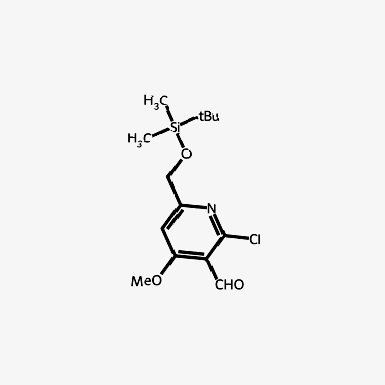 COc1cc(CO[Si](C)(C)C(C)(C)C)nc(Cl)c1C=O